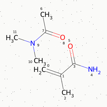 C=C(C)C(N)=O.CC(=O)N(C)C